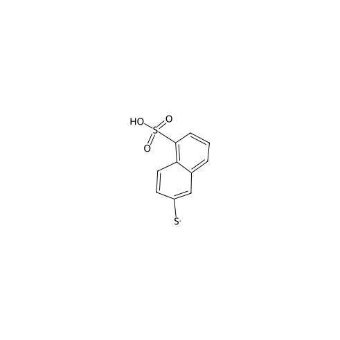 O=S(=O)(O)c1cccc2cc([S])ccc12